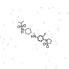 CC(C)S(=O)(=O)N[C@H]1CC[C@H](CNc2ccc(N3CCCS3(=O)=O)c(F)c2)CC1